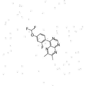 Cc1nc2ncnc(-c3ccc(OC(F)F)cc3F)c2nc1C